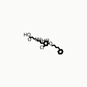 Cl.O=C(O)CCNCC=Cc1ccc(OCCCCc2ccccc2)cc1Cl